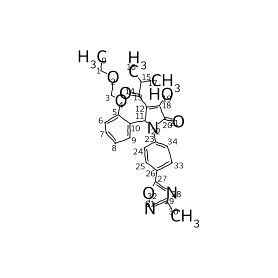 CCOCOc1ccccc1C1C(C(=O)C(C)C)=C(O)C(=O)N1c1ccc(-c2nc(C)no2)cc1